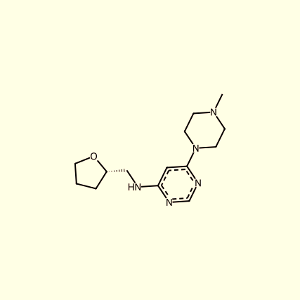 CN1CCN(c2cc(NC[C@@H]3CCCO3)ncn2)CC1